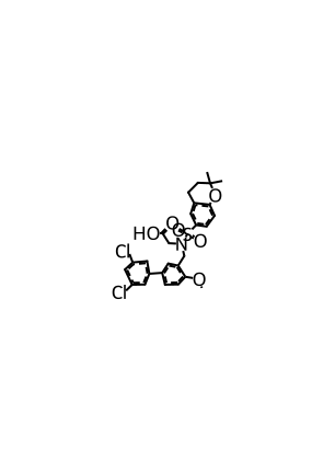 COc1ccc(-c2cc(Cl)cc(Cl)c2)cc1CN(CC(=O)O)S(=O)(=O)c1ccc2c(c1)CCC(C)(C)O2